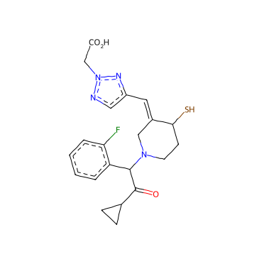 O=C(O)Cn1ncc(/C=C2\CN(C(C(=O)C3CC3)c3ccccc3F)CCC2S)n1